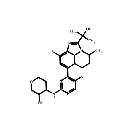 CC1CCC2C(c3nc(NC4CCOCC4O)ncc3Cl)=CC(F)=C3N=C(C(C)(C)O)N1C32